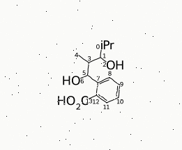 CC(C)C(O)C(C)C(O)c1ccccc1C(=O)O